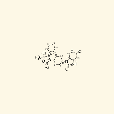 CC1(C)OC(=O)N(C2CCC(n3c(=O)[nH]c4cc(Cl)ccc43)CC2)C1c1ccccc1